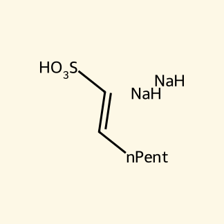 CCCCCC=CS(=O)(=O)O.[NaH].[NaH]